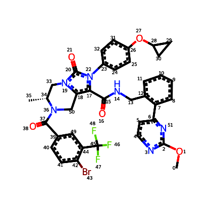 COc1nccc(-c2ccccc2CNC(=O)c2c3n(c(=O)n2-c2ccc(OC4CC4)cc2)C[C@@H](C)N(C(=O)c2ccc(Br)c(C(F)(F)F)c2)C3)n1